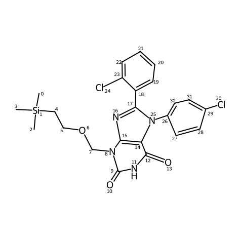 C[Si](C)(C)CCOCn1c(=O)[nH]c(=O)c2c1nc(-c1ccccc1Cl)n2-c1ccc(Cl)cc1